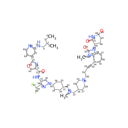 CCC(C)CNc1cc(-c2nc(C(=O)Nc3cn([C@H]4CC[C@H](CN(C)CC5CCN(CCC#Cc6cccc7c6n(C)c(=O)n7C6CCC(=O)NC6=O)CC5)CC4)nc3C(F)F)co2)ccn1